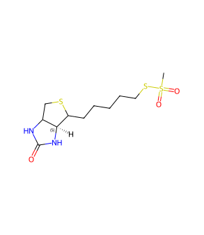 CS(=O)(=O)SCCCCCC1SCC2NC(=O)N[C@@H]21